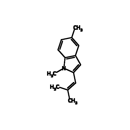 CC(C)=Cc1cc2cc(C)ccc2n1C